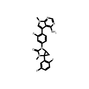 CN1C(=O)N(c2ccc(-c3cn(C)c4ncnc(N)c34)c(F)c2)C2CC21c1cc(F)ccc1F